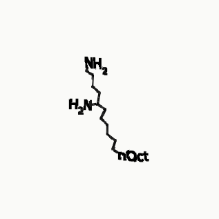 CCCCCCCCCCCCCCC(N)CCCCN